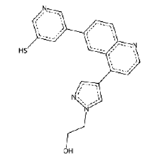 OCCn1cc(-c2ccnc3ccc(-c4cncc(S)c4)cc23)cn1